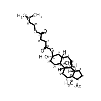 CC(=O)[C@H]1CC[C@H]2[C@@H]3CC[C@H]4C[C@](C)(OC(=O)CCC(=O)OCCN(C)C)CC[C@]4(C)[C@H]3CC[C@]12C